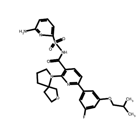 CC(C)COc1cc(F)cc(-c2ccc(C(=O)NS(=O)(=O)c3cccc(N)n3)c(N3CCCC34CCOC4)n2)c1